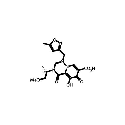 COC[C@H](C)N1CN(Cc2cc(C)on2)n2cc(C(=O)O)c(=O)c(O)c2C1=O